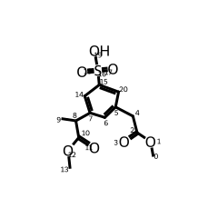 COC(=O)Cc1cc(C(C)C(=O)OC)cc(S(=O)(=O)O)c1